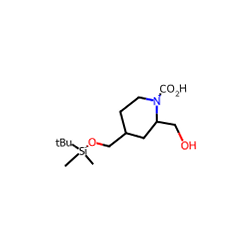 CC(C)(C)[Si](C)(C)OCC1CCN(C(=O)O)C(CO)C1